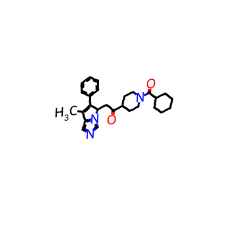 CC1=C(c2ccccc2)C(CC(=O)C2CCN(C(=O)C3CCCCC3)CC2)n2cncc21